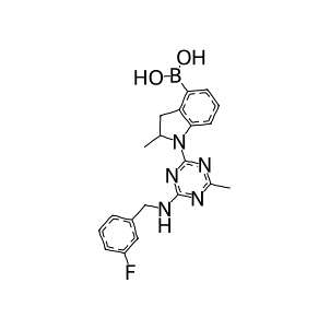 Cc1nc(NCc2cccc(F)c2)nc(N2c3cccc(B(O)O)c3CC2C)n1